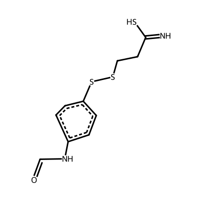 N=C(S)CCSSc1ccc(NC=O)cc1